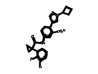 O=C(O)c1cc(NC(=O)C2(c3cccc(Cl)c3F)CC2)ccc1-c1cnn(C2CCC2)c1